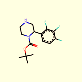 CC(C)(C)OC(=O)N1CCNCC1c1ccc(F)c(F)c1F